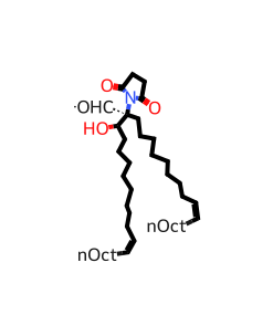 CCCCCCCC/C=C\CCCCCCCCC(O)[C@]([C]=O)(CCCCCCCC/C=C\CCCCCCCC)N1C(=O)CCC1=O